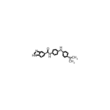 CN(C)c1ccc(Nc2ccc(NC(=O)c3ccc4[nH]cnc4c3)cc2)cc1